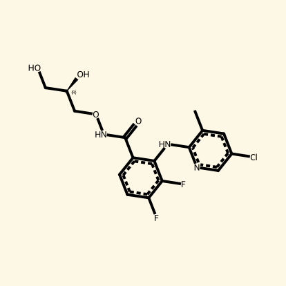 Cc1cc(Cl)cnc1Nc1c(C(=O)NOC[C@H](O)CO)ccc(F)c1F